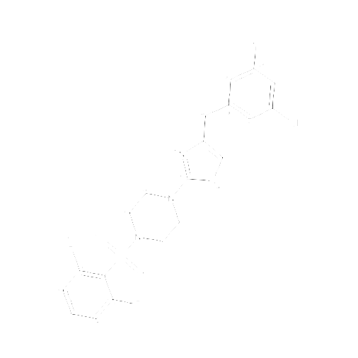 O=S(=O)(c1c(F)cccc1F)N1CCN(c2nc(Cc3cc(Cl)cc(Cl)c3)cs2)CC1